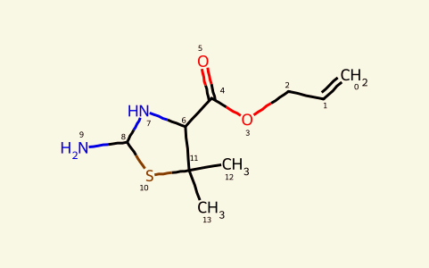 C=CCOC(=O)C1NC(N)SC1(C)C